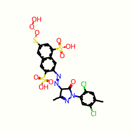 CC1=NN(c2cc(Cl)c(C)cc2Cl)C(=O)C1N=Nc1cc2c(S(=O)(=O)O)cc(SOOO)cc2cc1S(=O)(=O)O